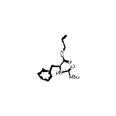 C=CCOC(=O)C(Cc1ccccc1)NC(=O)CCCC